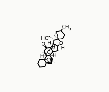 CC1CC[C@@]2(OC1)O[C@H]1C[C@H]3[C@@H]4CC=C5CCCC[C@]5(C)[C@H]4CC(=O)[C@]3(C)[C@H]1[C@@H]2CO